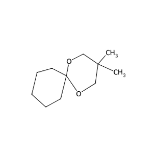 CC1(C)COC2(CCCCC2)OC1